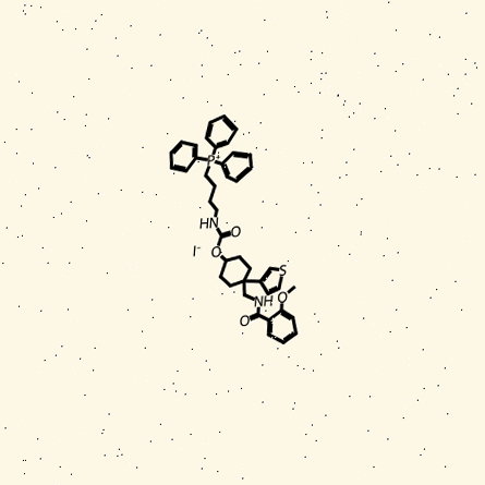 COc1ccccc1C(=O)NCC1(c2ccsc2)CCC(OC(=O)NCCCC[P+](c2ccccc2)(c2ccccc2)c2ccccc2)CC1.[I-]